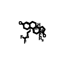 C[C@]12CC=C3[C@@H](CCC4=CC(=O)CC[C@@]43CCSC(F)F)[C@@H]1CCC2=O